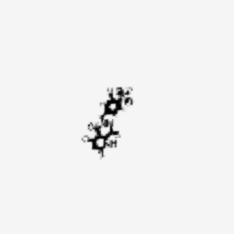 Cc1cc(=O)c(C(=O)NCc2ccc(S(C)(=O)=O)c(C)c2)c(C(C)C)[nH]1